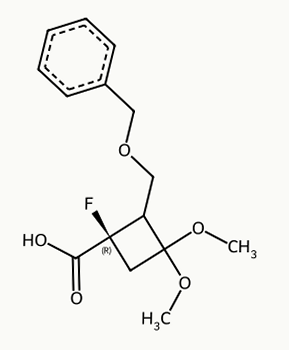 COC1(OC)C[C@](F)(C(=O)O)C1COCc1ccccc1